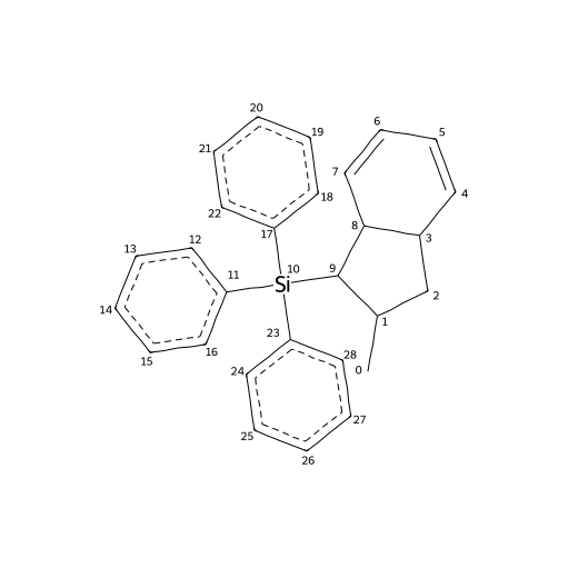 CC1CC2C=CC=CC2C1[Si](c1ccccc1)(c1ccccc1)c1ccccc1